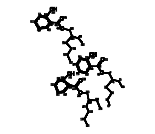 CCCCC(CC)COC(=O)c1ccccc1O.CCCCC(CC)COC(=O)c1ccccc1O.CCCCC(CC)COC(=O)c1ccccc1O